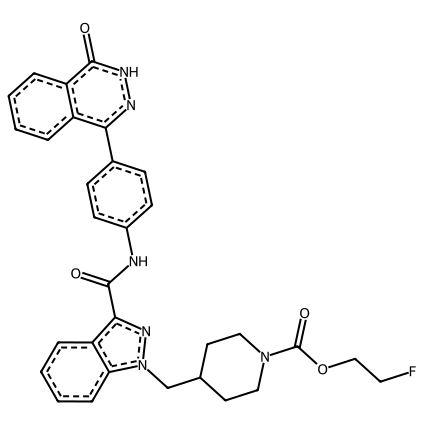 O=C(Nc1ccc(-c2n[nH]c(=O)c3ccccc23)cc1)c1nn(CC2CCN(C(=O)OCCF)CC2)c2ccccc12